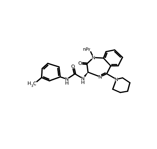 CCCN1C(=O)[C@H](NC(=O)Nc2cccc(C)c2)N=C(N2CCCCC2)c2ccccc21